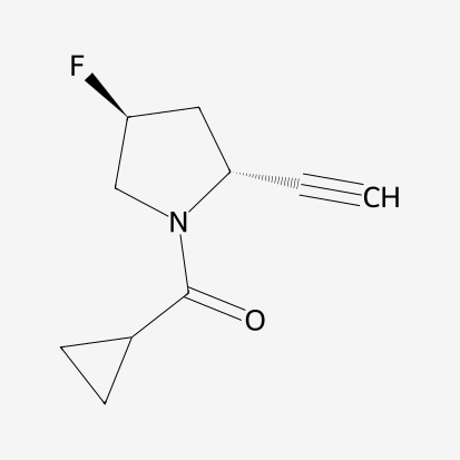 C#C[C@H]1C[C@H](F)CN1C(=O)C1CC1